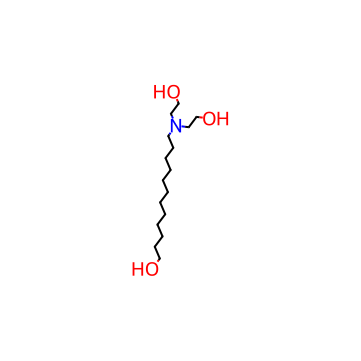 OCCCCCCCCCCCCN(CCO)CCO